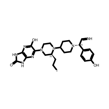 N=C[C@H](c1ccc(O)cc1)N1CCC(N2CCN(c3nc4[nH]c(=O)[nH]c4nc3O)C[C@@H]2CCI)CC1